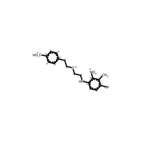 Cc1c(Br)ccc(NCCOCCc2ccc(C(=O)O)cc2)c1[N+](=O)[O-]